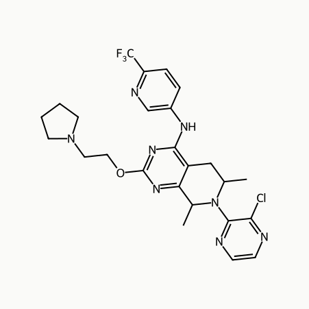 CC1Cc2c(Nc3ccc(C(F)(F)F)nc3)nc(OCCN3CCCC3)nc2C(C)N1c1nccnc1Cl